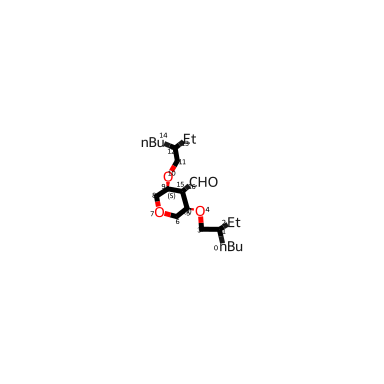 CCCCC(CC)CO[C@@H]1COC[C@@H](OCC(CC)CCCC)C1C=O